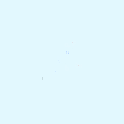 [2H]c1nc(NC(=O)C2=C(O)c3ccccc3S(=O)(=O)N2C)sc1C([2H])([2H])C